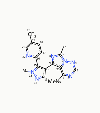 CNc1ncnn2c(C)nc(-c3cnn(C)c3-c3ccc(C(F)(F)F)cn3)c12